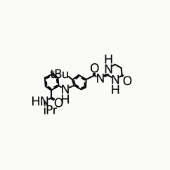 CC(C)NC(=O)c1ccccc1Nc1ccc(C(=O)/N=C2\NCCC(=O)N2)cc1C(C)(C)C